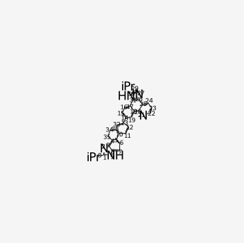 CC(C)c1nc2c3c(ccc2[nH]1)-c1ccc(-c2ccc4c(c2)c2ncccc2c2nc(C(C)C)[nH]c42)cc1CC3